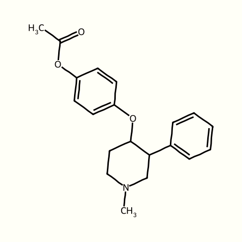 CC(=O)Oc1ccc(OC2CCN(C)CC2c2ccccc2)cc1